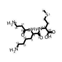 CSCCC(NC(=O)C(CCCCN)NC(=O)CCN)C(=O)O